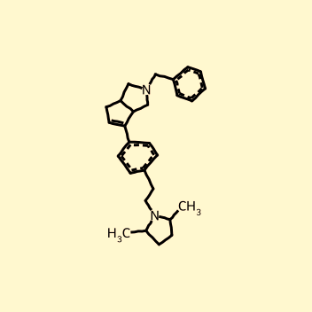 CC1CCC(C)N1CCc1ccc(C2=CCC3CN(Cc4ccccc4)CC23)cc1